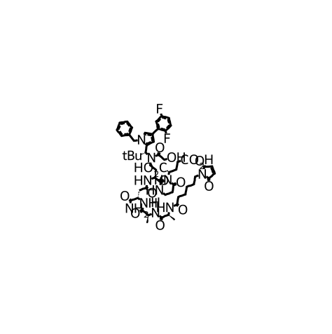 C[C@H](NC(=O)CCCCCN1C(=O)C=CC1=O)C(=O)N[C@@H](C)C(=O)N[C@@H](CC(=O)N[C@@H](CCN(C(=O)CO)[C@@H](c1cc(-c2cc(F)ccc2F)cn1Cc1ccccc1)C(C)(C)C)C(=O)NCCC(=O)N[C@@H](CCC(=O)O)C(=O)O)C(N)=O